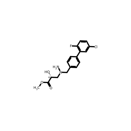 COC(=O)[C@H](O)CN(N)Cc1ccc(-c2cc(Cl)ccc2F)cc1